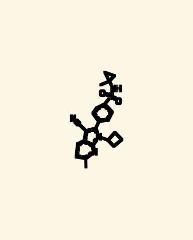 Cc1ccc2c(C#N)c(-c3ccc(S(=O)(=O)NC4(C)CC4)cc3)n(C3CCC3)c2n1